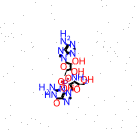 Nc1nc2c(ncn2C2O[C@H](CO)[C@@H](N)[C@H]2P(=O)(O)OC[C@H]2O[C@@H](n3cnc4c(N)ncnc43)[C@H](O)[C@@H]2O)c(=O)[nH]1